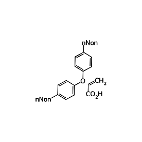 C=CC(=O)O.CCCCCCCCCc1ccc(Oc2ccc(CCCCCCCCC)cc2)cc1